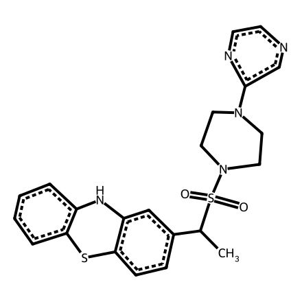 CC(c1ccc2c(c1)Nc1ccccc1S2)S(=O)(=O)N1CCN(c2cnccn2)CC1